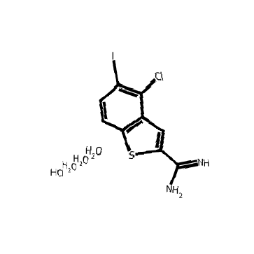 Cl.N=C(N)c1cc2c(Cl)c(I)ccc2s1.O.O.O